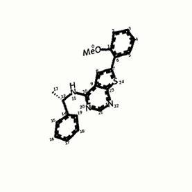 COc1ccccc1-c1cc2c(N[C@@H](C)c3ccccc3)ncnc2s1